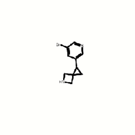 Brc1cncc(C2CC23CNC3)c1